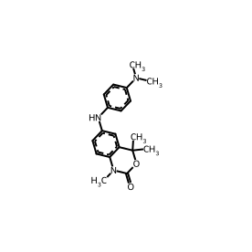 CN(C)c1ccc(Nc2ccc3c(c2)C(C)(C)OC(=O)N3C)cc1